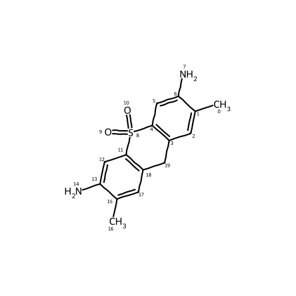 Cc1cc2c(cc1N)S(=O)(=O)c1cc(N)c(C)cc1C2